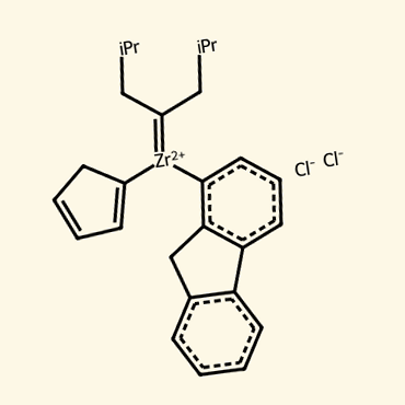 CC(C)C[C](CC(C)C)=[Zr+2]([C]1=CC=CC1)[c]1cccc2c1Cc1ccccc1-2.[Cl-].[Cl-]